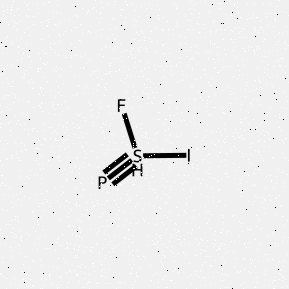 F[SH](#P)I